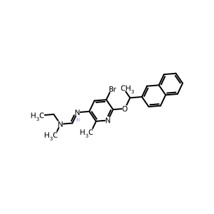 CCN(C)/C=N/c1cc(Br)c(OC(C)c2ccc3ccccc3c2)nc1C